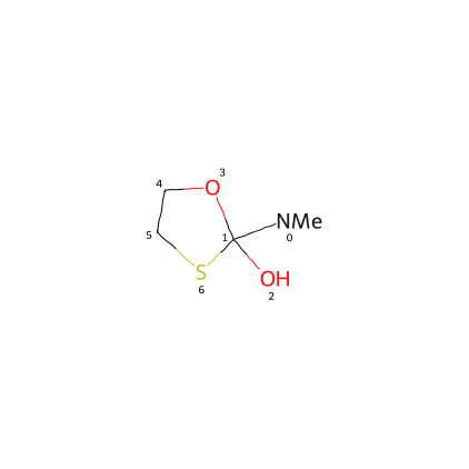 CNC1(O)OCCS1